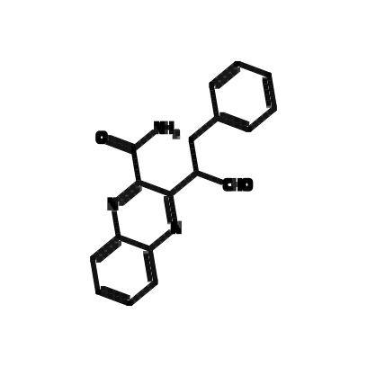 NC(=O)c1nc2ccccc2nc1C(C=O)Cc1ccccc1